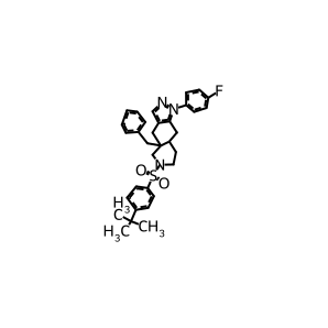 CC(C)(C)c1ccc(S(=O)(=O)N2CCC3Cc4c(cnn4-c4ccc(F)cc4)CC3(Cc3ccccc3)C2)cc1